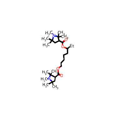 CCC(CCCCCOC(=O)C1CC(C)(C)N(C)C1(C)C)OC(=O)C1CC(C)(C)N(C)C1(C)C